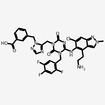 Cn1cc2c(CCN)c(Nc3nc(=O)n(Cc4ncnn4Cc4cccc(C(=O)O)c4)c(=O)n3Cc3cc(F)c(F)cc3F)c(Cl)cc2n1